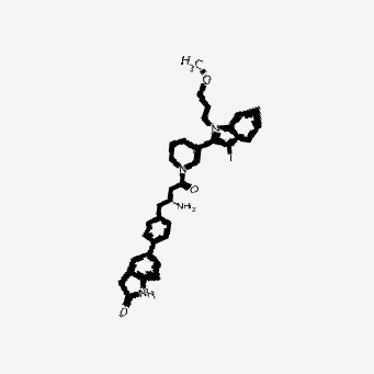 COCCCn1c(C2CCCN(C(=O)C[C@H](N)Cc3ccc(-c4ccc5c(c4)CC(=O)N5)cc3)C2)c(I)c2ccccc21